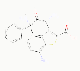 Nc1ccc2c3c(c(C(=O)O)sc13)C(N)C(=O)C2(N)c1ccccc1